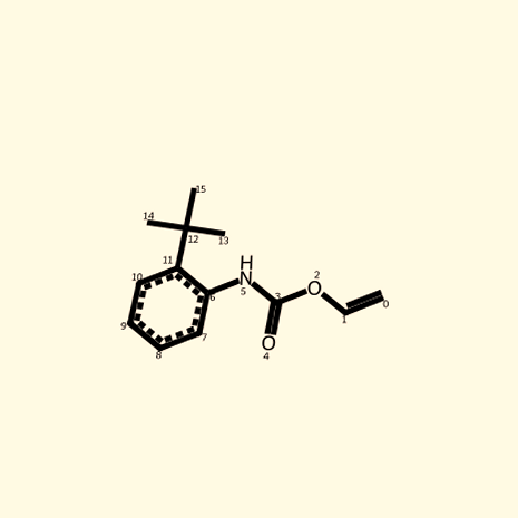 C=COC(=O)Nc1ccccc1C(C)(C)C